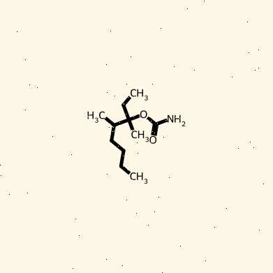 CCCCC(C)C(C)(CC)OC(N)=O